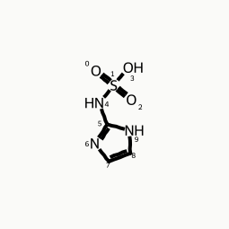 O=S(=O)(O)Nc1ncc[nH]1